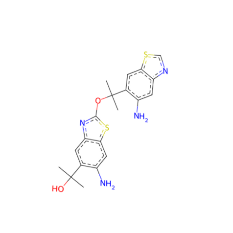 CC(C)(O)c1cc2nc(OC(C)(C)c3cc4scnc4cc3N)sc2cc1N